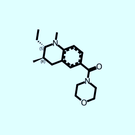 CC[C@H]1[C@H](C)Cc2cc(C(=O)N3CCOCC3)ccc2N1C